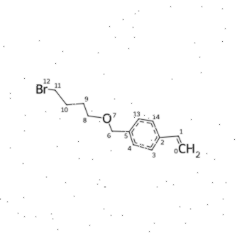 C=Cc1ccc(COCCCCBr)cc1